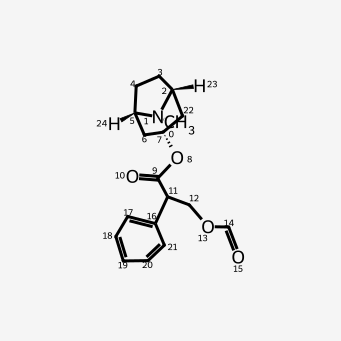 CN1[C@@H]2CC[C@H]1C[C@@H](OC(=O)C(COC=O)c1ccccc1)C2